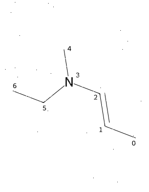 CC=CN(C)CC